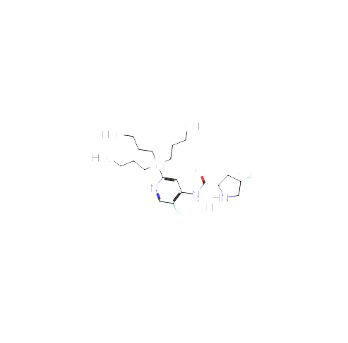 CCC[CH2][Sn]([CH2]CCC)([CH2]CCC)[c]1cc(N(C)C(=O)[C@@H]2C[C@@H](F)CN2)c(F)cn1